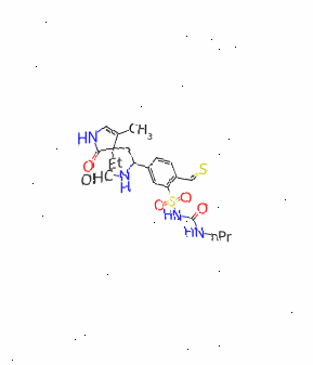 CCCNC(=O)NS(=O)(=O)c1cc(C(CC2(CC)C(=O)NC=C2C)NC=O)ccc1C=S